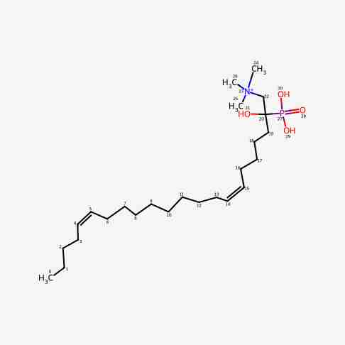 CCCC/C=C\CCCCCCCC/C=C\CCCCC(O)(C[N+](C)(C)C)P(=O)(O)O